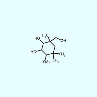 CC(=O)OC1C(O)C(O)C(C)(CO)CC1(C)C